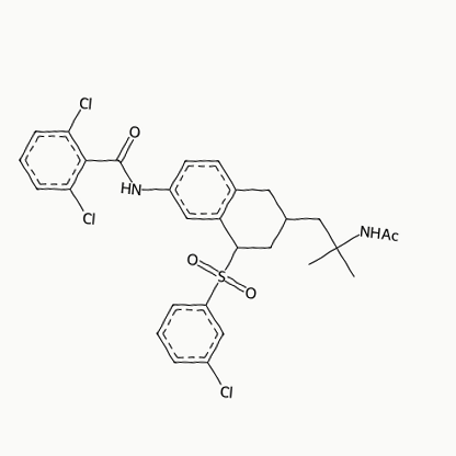 CC(=O)NC(C)(C)CC1Cc2ccc(NC(=O)c3c(Cl)cccc3Cl)cc2C(S(=O)(=O)c2cccc(Cl)c2)C1